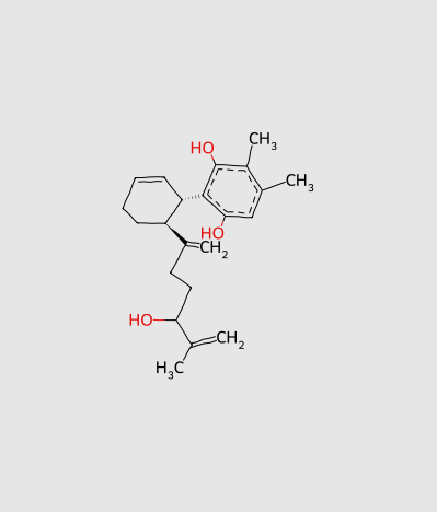 C=C(C)C(O)CCC(=C)[C@H]1CCC=C[C@@H]1c1c(O)cc(C)c(C)c1O